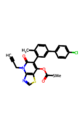 C#CCn1c(=O)c(-c2cc(-c3ccc(Cl)cc3)ccc2C)c(OC(=O)SC)c2scnc21